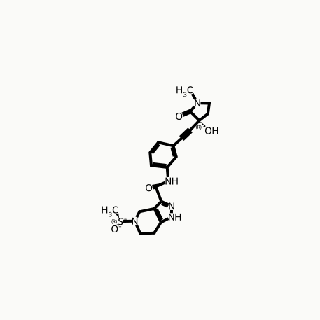 CN1CC[C@@](O)(C#Cc2cccc(NC(=O)c3n[nH]c4c3CN([S@+](C)[O-])CC4)c2)C1=O